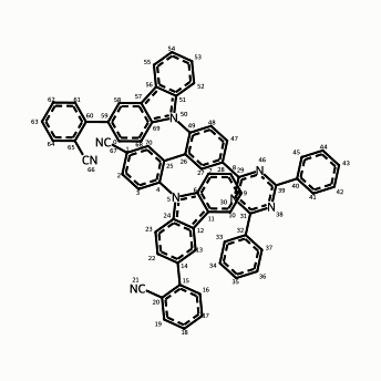 N#Cc1ccc(-n2c3ccccc3c3cc(-c4ccccc4C#N)ccc32)c(-c2cc(-c3nc(-c4ccccc4)nc(-c4ccccc4)n3)ccc2-n2c3ccccc3c3cc(-c4ccccc4C#N)ccc32)c1